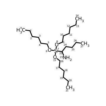 CCCCCCO[Si](OCCCCCC)(OCCCCCC)C(N)CCCC